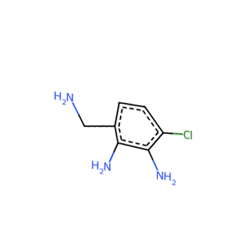 NCc1ccc(Cl)c(N)c1N